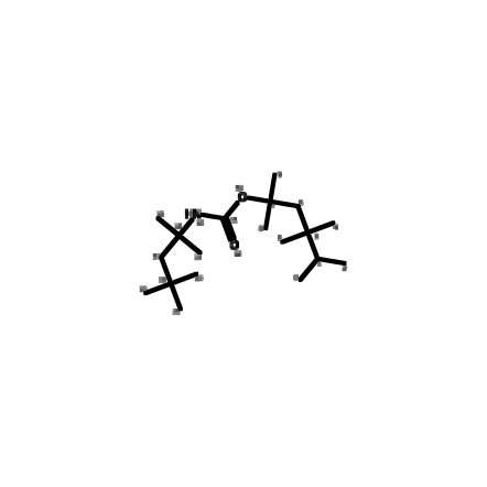 CC(C)C(C)(C)CC(C)(C)OC(=O)NC(C)(C)CC(C)(C)C